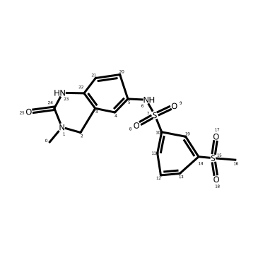 CN1Cc2cc(NS(=O)(=O)c3cccc(S(C)(=O)=O)c3)ccc2NC1=O